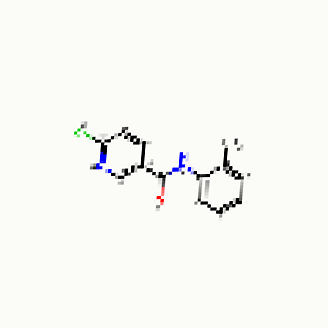 Cc1ccccc1NC(=O)c1ccc(Cl)nc1